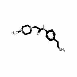 CN1CCN(CC(=O)Nc2ccc(CCN)cc2)CC1